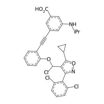 CC(C)Nc1cc(C#Cc2ccccc2OC(Cl)c2c(-c3c(Cl)cccc3Cl)noc2C2CC2)cc(C(=O)O)c1